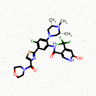 C[C@@H]1CN(c2cc(F)c(-c3nc(C(=O)N4CCOCC4)cs3)cc2NC(=O)C2=CNC(O)C=C2C(F)(F)F)C[C@H](C)N1C